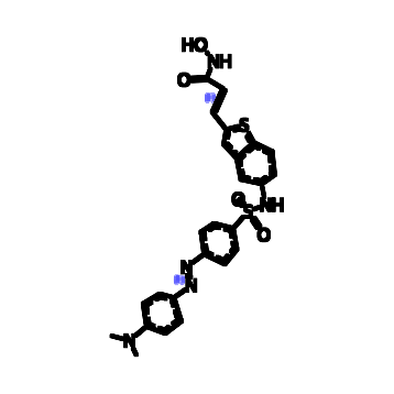 CN(C)c1ccc(/N=N/c2ccc(S(=O)(=O)Nc3ccc4sc(/C=C/C(=O)NO)cc4c3)cc2)cc1